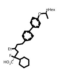 CCCCCC[C@@H](C)Oc1ccc(-c2ccc(CCC(CC)C[C@@](F)(C(=O)O)C3CCCCC3)cc2)cc1